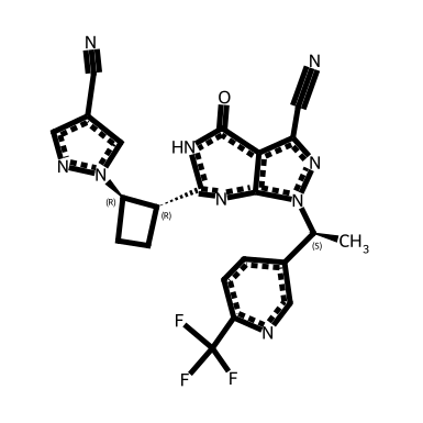 C[C@@H](c1ccc(C(F)(F)F)nc1)n1nc(C#N)c2c(=O)[nH]c([C@@H]3CC[C@H]3n3cc(C#N)cn3)nc21